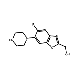 OCc1nc2cc(F)c(N3CCNCC3)cc2o1